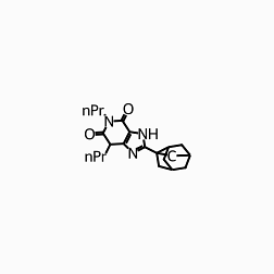 CCCC1C(=O)N(CCC)C(=O)c2[nH]c(C34CC5CC(CC3C5)C4)nc21